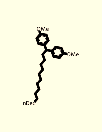 CCCCCCCCCCCCCCCCCCCCC(c1ccc(OC)cc1)c1ccc(OC)cc1